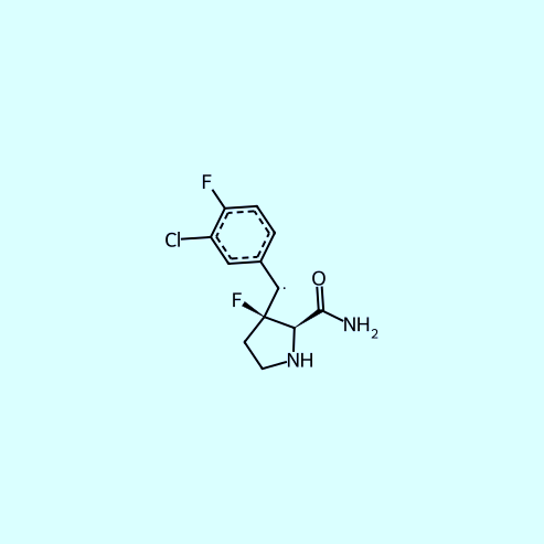 NC(=O)[C@H]1NCC[C@]1(F)[CH]c1ccc(F)c(Cl)c1